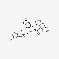 CC[N+](CC)(CCCCN(Cc1ccc2c(c1)OCO2)C(=O)c1c2ccccc2cc2ccccc12)Cc1cc(C)cc(C)c1